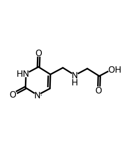 O=C(O)CNCC1=C[N]C(=O)NC1=O